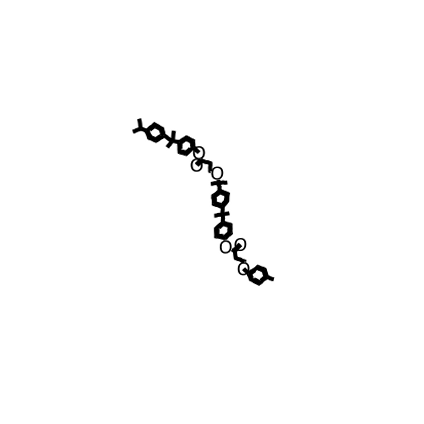 Cc1ccc(OCCC(=O)Oc2ccc(C(C)(C)c3ccc(C(C)(C)OCCC(=O)Oc4ccc(C(C)(C)c5ccc(C(C)C)cc5)cc4)cc3)cc2)cc1